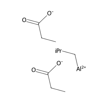 CC(C)[CH2][Al+2].CCC(=O)[O-].CCC(=O)[O-]